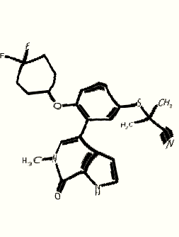 Cn1cc(-c2cc(SC(C)(C)C#N)ccc2OC2CCC(F)(F)CC2)c2cc[nH]c2c1=O